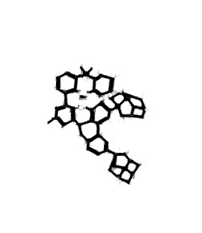 Cc1cc2c3c(c1)C1Cc4ccc(C56CC7CC8CC(C5)C87C6)cc4-c4cc(C56CC7CC8CC(C5)C6C87)cc(c41)B3N1c3ccccc3C(C)(C)c3cccc-2c31